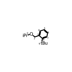 CC(C)OCc1ccccc1C(C)(C)C